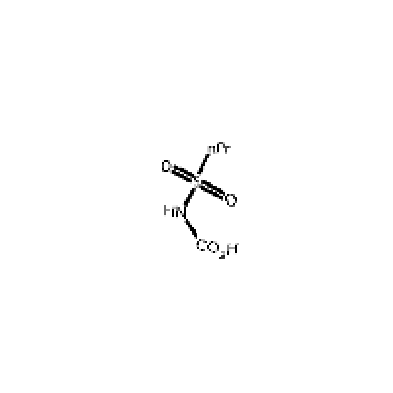 CCCS(=O)(=O)NC(=O)O